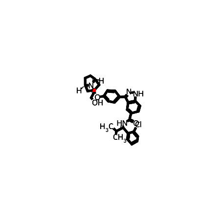 CC(C)[C@H](NC(=O)c1ccc2[nH]nc(-c3ccc(O[C@@H]4C[C@H]5CC[C@@H](C4)N5CCO)cc3)c2c1)c1ccccc1Cl